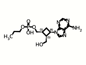 CCCOP(=O)(O)OC[C@H]1C[C@@H](n2cnc3c(N)ncnc32)[C@H]1CO